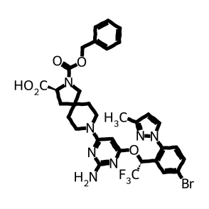 Cc1ccn(-c2ccc(Br)cc2[C@@H](Oc2cc(N3CCC4(CC3)C[C@@H](C(=O)O)N(C(=O)OCc3ccccc3)C4)nc(N)n2)C(F)(F)F)n1